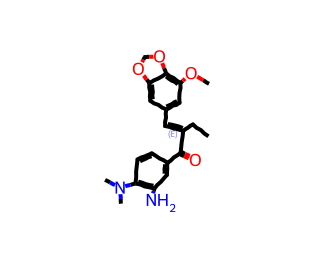 CC/C(=C\c1cc(OC)c2c(c1)OCO2)C(=O)c1ccc(N(C)C)c(N)c1